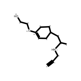 C#CCNC(C)CC1CC=C(OCCO)CC1